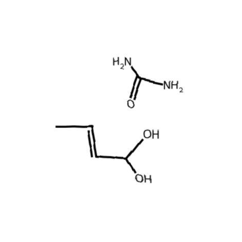 CC=CC(O)O.NC(N)=O